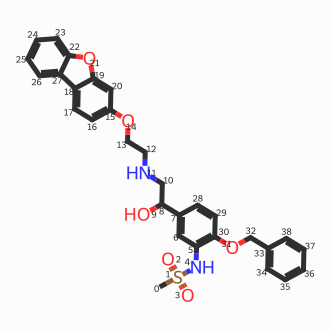 CS(=O)(=O)Nc1cc(C(O)CNCCOc2ccc3c(c2)oc2ccccc23)ccc1OCc1ccccc1